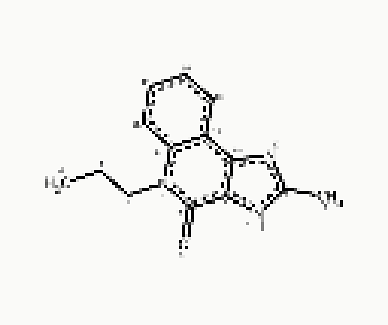 CCCn1c(=O)c2[nH]c(C)nc2c2ccccc21